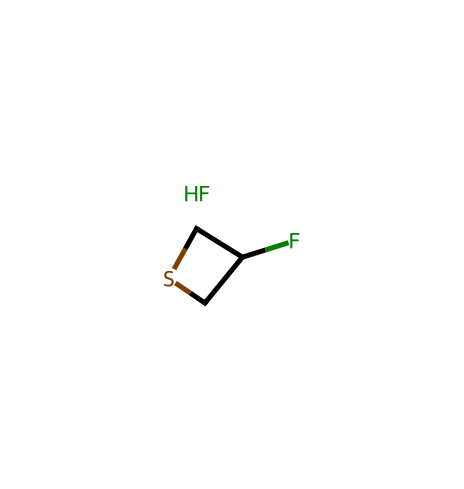 F.FC1CSC1